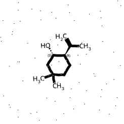 C=C(C)[C@H]1CCC(C)(C)C[C@@H]1O